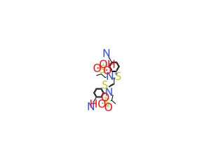 CC(CN1/C(=C/c2sc3ccc(C#N)cc3[n+]2CC(C)S(=O)(=O)O)Sc2ccc(C#N)cc21)S(=O)(=O)O